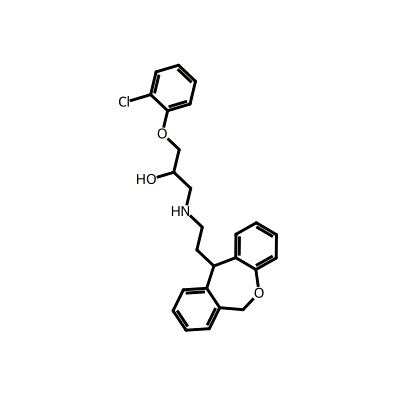 OC(CNCCC1c2ccccc2COc2ccccc21)COc1ccccc1Cl